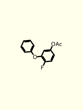 CC(=O)Oc1ccc(F)c(Oc2ccccc2)c1